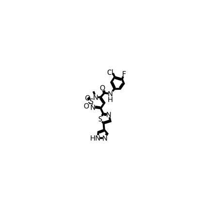 CN1C(C(=O)Nc2ccc(F)c(Cl)c2)=CC(c2ncc(-c3cn[nH]c3)s2)=NS1(=O)=O